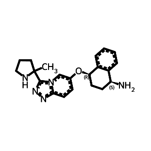 CC1(c2nnc3ccc(O[C@@H]4CC[C@H](N)c5ccccc54)cn23)CCCN1